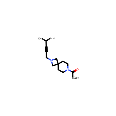 CCCCCCCCC(=O)N1CCC2(CC1)CN(CC#CC(CCCC)CCCC)C2